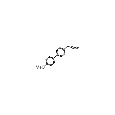 COc1ccc(-c2ccc(CSC)cc2)cc1